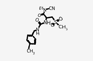 CCN(C#N)C(=O)C(CS(C)(=O)=O)NC(=O)NCc1ccc(C)cc1